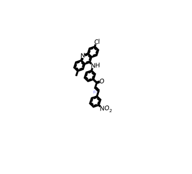 Cc1ccc2nc3cc(Cl)ccc3c(Nc3cccc(C(=O)/C=C/c4cccc([N+](=O)[O-])c4)c3)c2c1